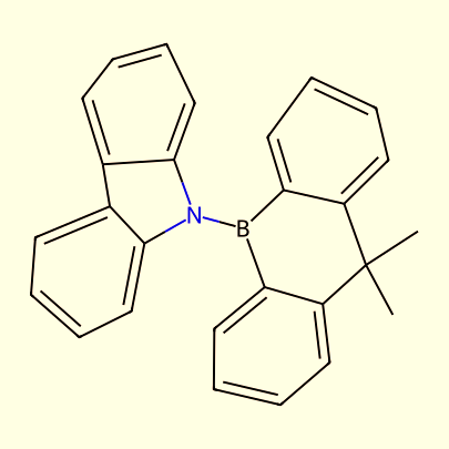 CC1(C)c2ccccc2B(n2c3ccccc3c3ccccc32)c2ccccc21